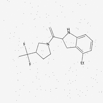 C=C(C1Cc2c(CC)cccc2N1)N1CCC(C(C)(F)F)C1